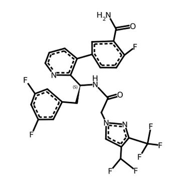 NC(=O)c1cc(-c2cccnc2[C@H](Cc2cc(F)cc(F)c2)NC(=O)Cn2cc(C(F)F)c(C(F)(F)F)n2)ccc1F